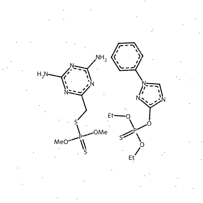 CCOP(=S)(OCC)Oc1ncn(-c2ccccc2)n1.COP(=S)(OC)SCc1nc(N)nc(N)n1